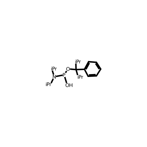 CC(C)N(C(C)C)P(O)OC(c1ccccc1)(C(C)C)C(C)C